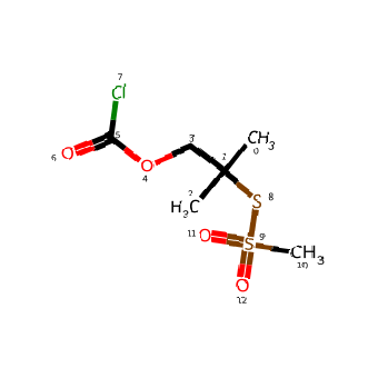 CC(C)(COC(=O)Cl)SS(C)(=O)=O